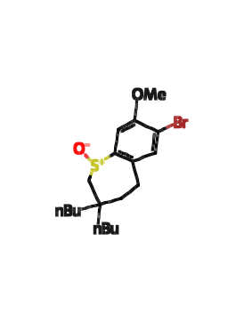 CCCCC1(CCCC)CCc2cc(Br)c(OC)cc2[S+]([O-])C1